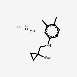 CNC1(CNc2ccc(C)c(C)n2)CC1.Cl.Cl.Cl